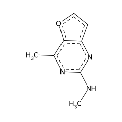 CNc1nc(C)c2occc2n1